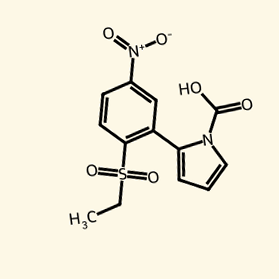 CCS(=O)(=O)c1ccc([N+](=O)[O-])cc1-c1cccn1C(=O)O